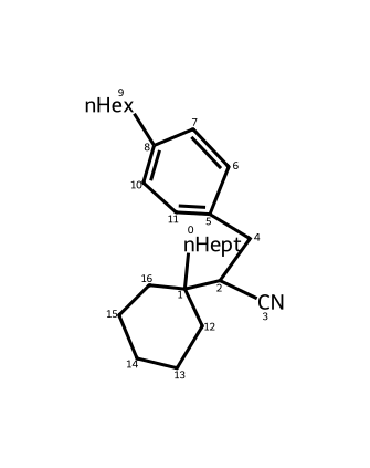 CCCCCCCC1(C(C#N)Cc2ccc(CCCCCC)cc2)CCCCC1